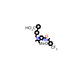 COc1cc(C(F)(F)F)ccc1C(C)NC(=O)c1ccc2c(c1)c(C)c(C)n2Cc1ccc(-c2ccccc2C(=O)O)cc1